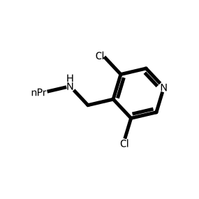 CCCNCc1c(Cl)cncc1Cl